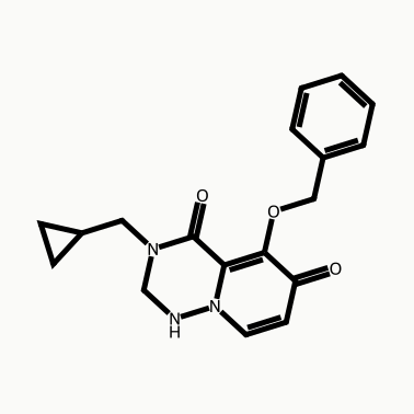 O=C1c2c(OCc3ccccc3)c(=O)ccn2NCN1CC1CC1